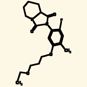 CCOCCCOc1cc(N2C(=O)C3CCCCN3C2=O)c(F)cc1C